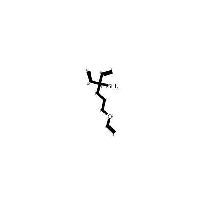 C=COCCCC([SiH3])(C=C)C=C